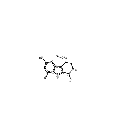 CCc1cc(O)cc2c3c([nH]c12)C(CC)OCC3.COC(C)=O